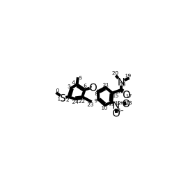 CSc1cc(C)c(Oc2ccc([N+](=O)[O-])c(C(=O)N(C)C)c2)c(C)c1